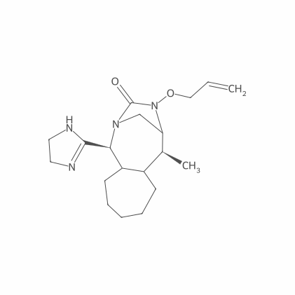 C=CCON1C(=O)N2CC1[C@@H](C)C1CCCCCC1[C@H]2C1=NCCN1